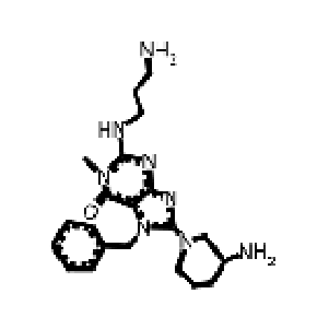 Cn1c(NCCCN)nc2nc(N3CCCC(N)C3)n(Cc3ccccc3)c2c1=O